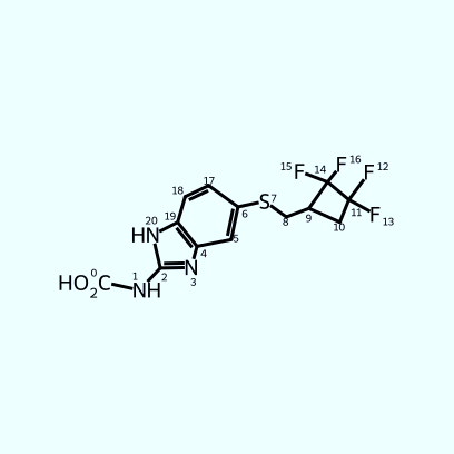 O=C(O)Nc1nc2cc(SCC3CC(F)(F)C3(F)F)ccc2[nH]1